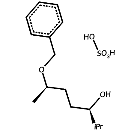 CC(C)[C@H](O)CC[C@@H](C)OCc1ccccc1.O=S(=O)(O)O